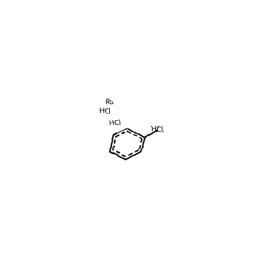 Cc1ccccc1.Cl.Cl.Cl.[Ru]